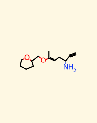 C#C[C@H](N)C/C=C(\C)OCC1CCCCO1